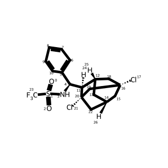 O=S(=O)(N[C@@H](c1ccccc1)[C@H]1[C@H]2C[C@@H]3C[C@](Cl)(C2)C[C@@]1(Cl)C3)C(F)(F)F